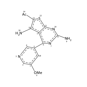 COc1cncc(-c2nc(N)nc3sc(C(C)=O)c(N)c23)c1